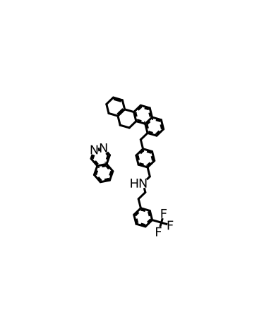 FC(F)(F)c1cccc(CCNCc2ccc(Cc3cccc4ccc5c(c34)CCC3=C5C=CCC3)cc2)c1.c1ccc2cnncc2c1